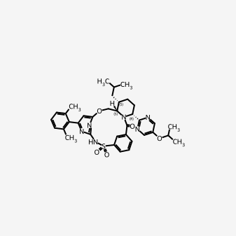 Cc1cccc(C)c1-c1cc2nc(n1)NS(=O)(=O)c1cccc(c1)C(=O)N1[C@@H](c3ncc(OC(C)C)cn3)CC[C@@H](CC(C)C)[C@H]1CO2